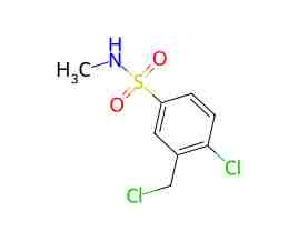 CNS(=O)(=O)c1ccc(Cl)c(CCl)c1